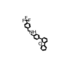 FC(F)(F)c1ccc(CNCc2ccc(-c3cccc4c3oc3ccccc34)cc2)cc1